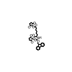 O=C(CCCCCC(NC(=O)OCC1c2ccccc2-c2ccccc21)C(=O)ON1C(=O)CCC1=O)ON1C(=O)CCC1=O